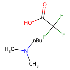 CCCCN(C)C.O=C(O)C(F)(F)F